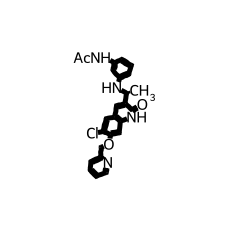 CC(=O)Nc1cccc(N[C@@H](C)c2cc3cc(Cl)c(OCc4ccccn4)cc3[nH]c2=O)c1